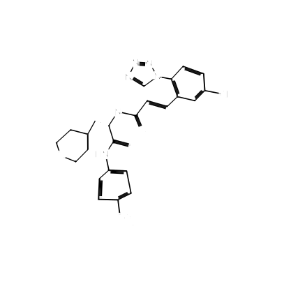 O=C(C=Cc1cc(Cl)ccc1-n1cnnn1)N[C@@H](CC1CCOCC1)C(=O)Nc1ccc(C(=O)O)cc1